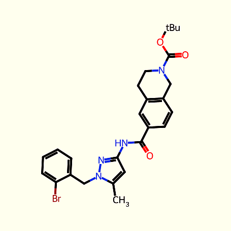 Cc1cc(NC(=O)c2ccc3c(c2)CCN(C(=O)OC(C)(C)C)C3)nn1Cc1ccccc1Br